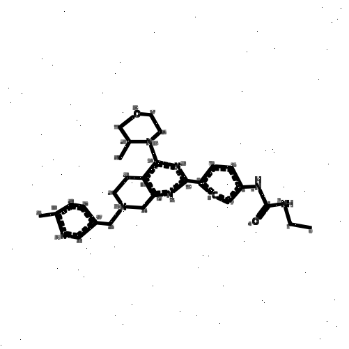 CCNC(=O)Nc1ccc(-c2nc3c(c(N4CCOCC4C)n2)CCN(Cc2ccc(C)nc2)C3)cc1